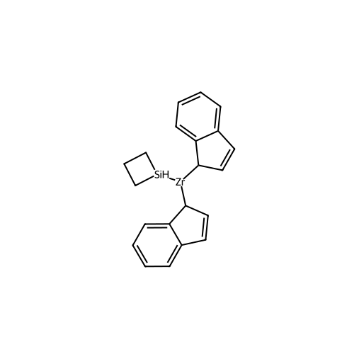 C1=C[CH]([Zr]([CH]2C=Cc3ccccc32)[SiH]2CCC2)c2ccccc21